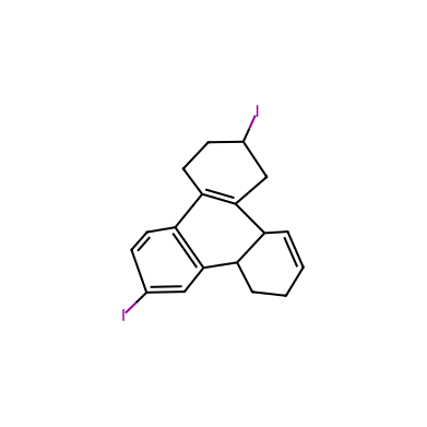 Ic1ccc2c(c1)C1CCC=CC1C1=C2CCC(I)C1